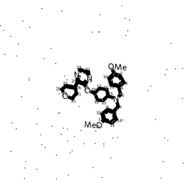 COc1ccc(CN(Cc2ccc(OC)cc2)C2CCC(Oc3nccnc3C3=CCOCC3)CC2)cc1